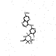 COc1cnc2c(Nc3cc([C@]4(C)CS(=O)(=O)C(C)(C)C(=N)N4)c(F)cn3)ncnc2c1